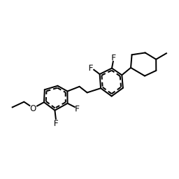 CCOc1ccc(CCc2ccc(C3CCC(C)CC3)c(F)c2F)c(F)c1F